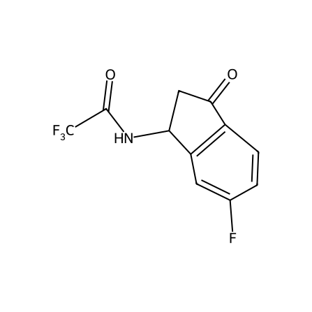 O=C1CC(NC(=O)C(F)(F)F)c2cc(F)ccc21